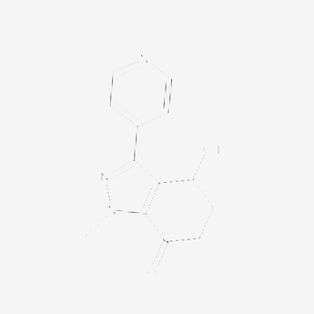 CC1CCC(=O)c2c1c(-c1ccncc1)nn2C